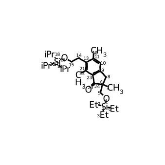 CC[Si](CC)(CC)OCC1(C)Cc2cc(C)c(CCO[Si](C(C)C)(C(C)C)C(C)C)c(C)c2C1=O